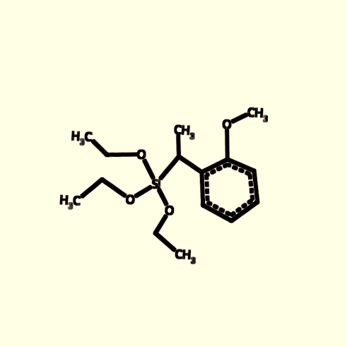 CCO[Si](OCC)(OCC)C(C)c1ccccc1OC